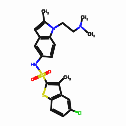 Cc1c(S(=O)(=O)Nc2ccc3c(c2)cc(C)n3CCN(C)C)sc2ccc(Cl)cc12